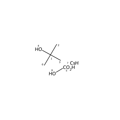 CC(C)(C)O.O=C(O)O.[CsH]